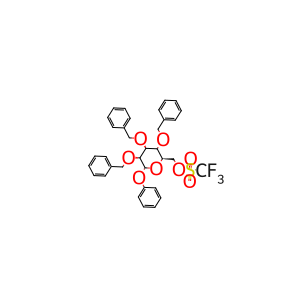 O=S(=O)(OC[C@H]1O[C@H](Oc2ccccc2)[C@@H](OCc2ccccc2)[C@@H](OCc2ccccc2)[C@@H]1OCc1ccccc1)C(F)(F)F